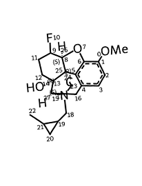 COc1ccc2c3c1O[C@@H]1C(F)CC[C@]4(O)[C@H](C2)N(CC2CC2C)CC[C@@]314